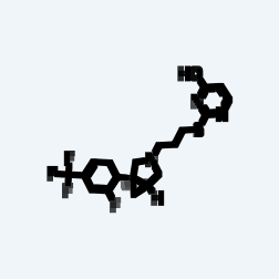 Oc1ccnc(SCCCN2C[C@@H]3C[C@]3(C3CC=C(C(F)(F)F)C=C3F)C2)n1